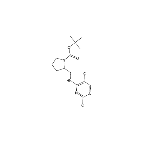 CC(C)(C)OC(=O)N1CCCC1CNc1nc(Cl)ncc1Cl